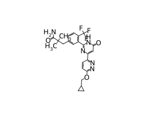 CC(C)(Cc1ccc(C(F)(F)F)c(-c2nc(-c3ccc(OCC4CC4)nn3)cc(=O)[nH]2)c1)C(N)=O